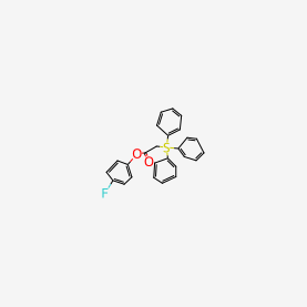 O=C(CS(c1ccccc1)(c1ccccc1)c1ccccc1)Oc1ccc(F)cc1